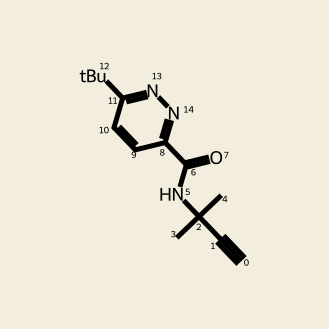 C#CC(C)(C)NC(=O)c1ccc(C(C)(C)C)nn1